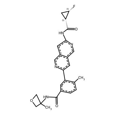 Cc1ccc(C(=O)NC2(C)COC2)cc1-c1cc2cnc(NC(=O)[C@@H]3C[C@@H]3F)cc2cn1